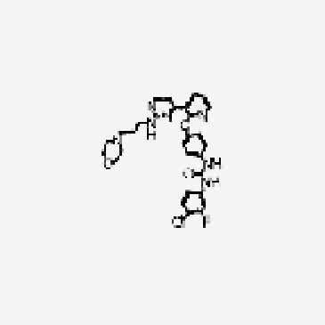 O=C(Nc1ccc(Oc2ncccc2-c2ccnc(NCCCN3CCOCC3)n2)cc1)Nc1ccc(Cl)c(F)c1